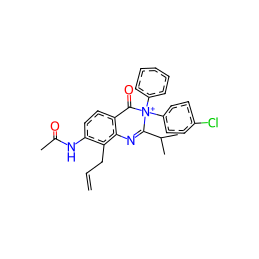 C=CCc1c(NC(C)=O)ccc2c1N=C(C(C)C)[N+](c1ccccc1)(c1ccc(Cl)cc1)C2=O